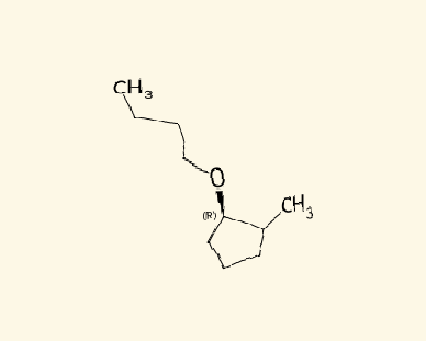 CCCCO[C@@H]1CCCC1C